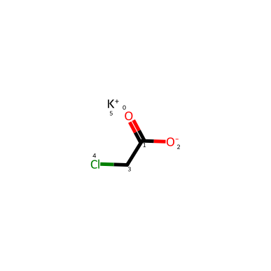 O=C([O-])CCl.[K+]